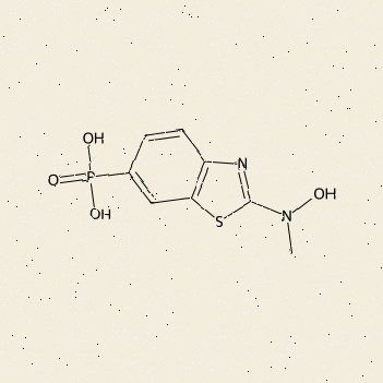 CN(O)c1nc2ccc(P(=O)(O)O)cc2s1